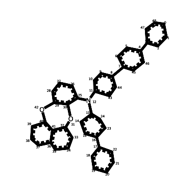 c1ccc(-c2ccc(-c3ccc(N(c4ccc(-c5ccccc5)cc4)c4cccc5c4Oc4cccc6cccc(c46)O5)cc3)cc2)cc1